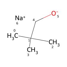 CC(C)(C)C[O-].[Na+]